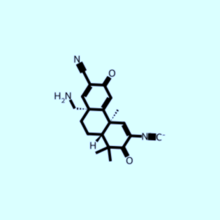 [C-]#[N+]C1=C[C@]2(C)C3=CC(=O)C(C#N)=C[C@]3(CN)CC[C@H]2C(C)(C)C1=O